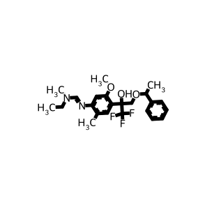 CCN(C)C=Nc1cc(OC)c(C(O)(COC(C)c2ccccc2)C(F)(F)F)cc1C